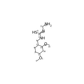 COC1CCC(CN/C(S)=N/CN)C(OC)C1